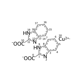 O=C([O-])c1nc2ccccc2[nH]1.O=C([O-])c1nc2ccccc2[nH]1.[Cu+2]